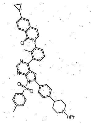 CCCN1CCC(c2ccc(-c3cc4c(-c5cccc(-n6ccc7cc(C8CC8)ccc7c6=O)c5C)ncnc4n3S(=O)(=O)c3ccc(C)cc3)cc2)CC1